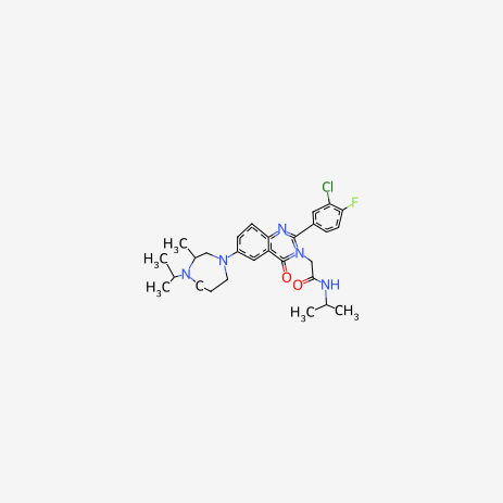 CC(C)NC(=O)Cn1c(-c2ccc(F)c(Cl)c2)nc2ccc(N3CCCN(C(C)C)C(C)C3)cc2c1=O